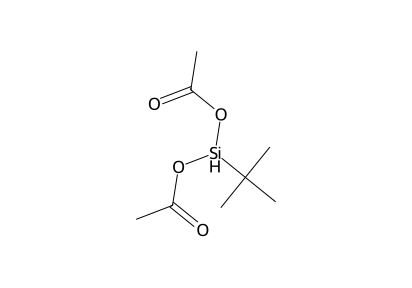 CC(=O)O[SiH](OC(C)=O)C(C)(C)C